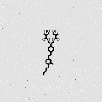 C=C(CO)C(=O)OCC(COC(=O)C(=C)CO)C1CCC(CCc2ccc(CCCCC)c(C)c2)CC1